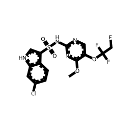 COc1nc(NS(=O)(=O)c2c[nH]c3cc(Cl)ccc23)ncc1OC(F)(F)CF